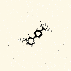 CC(C)c1ccc(C2CN(C)CCS2)cc1